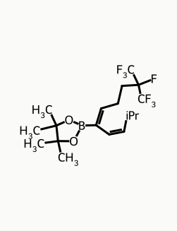 CC(C)/C=C\C(=C/CCC(F)(C(F)(F)F)C(F)(F)F)B1OC(C)(C)C(C)(C)O1